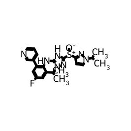 CC(C)c1cc(F)cc(-c2cccnc2)c1Nc1nnc([S+]([O-])c2ccn(C(C)C)n2)[nH]1